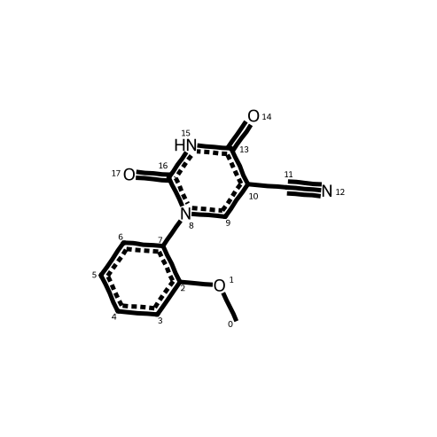 COc1ccccc1-n1cc(C#N)c(=O)[nH]c1=O